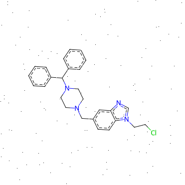 ClCCn1cnc2cc(CN3CCN(C(c4ccccc4)c4ccccc4)CC3)ccc21